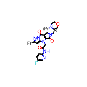 CCc1cc2n(CC(=O)Nc3ccc(F)cn3)c3c(c(=O)n2n1)CN(C[C@@H]1COCCN1C(C)C)C3=O